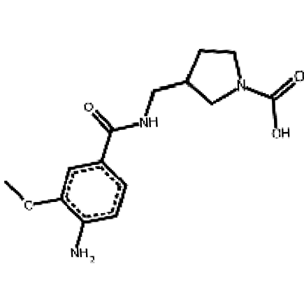 COc1cc(C(=O)NCC2CCN(C(=O)O)C2)ccc1N